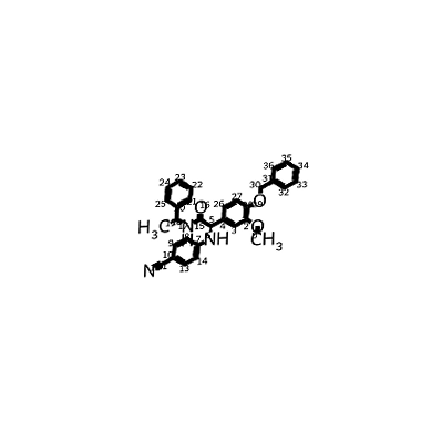 COc1cc([C@@H](Nc2ccc(C#N)cc2)C(=O)N[C@@H](C)c2ccccc2)ccc1OCc1ccccc1